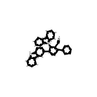 N#Cc1c(-c2ccccc2)ccc(-c2ccc3oc4ccccc4c3c2)c1-n1c2ccccc2c2ccccc21